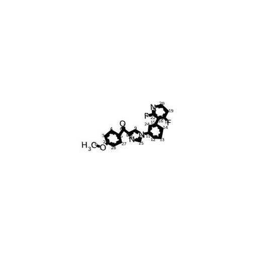 COc1ccc(C(=O)c2cn(-c3cccc(-c4c(F)ccnc4F)c3)cn2)cc1